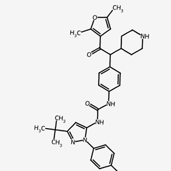 Cc1ccc(-n2nc(C(C)(C)C)cc2NC(=O)Nc2ccc(C(C(=O)c3cc(C)oc3C)C3CCNCC3)cc2)cc1